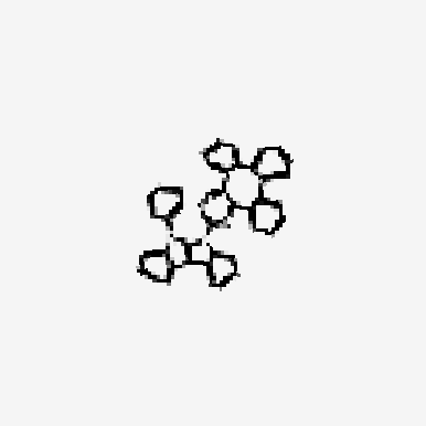 c1ccc(-n2c3ccccc3c3c4ccccc4n(-c4ncc5c(n4)-c4ccccc4-c4ccccc4-c4ccccc4-5)c32)cc1